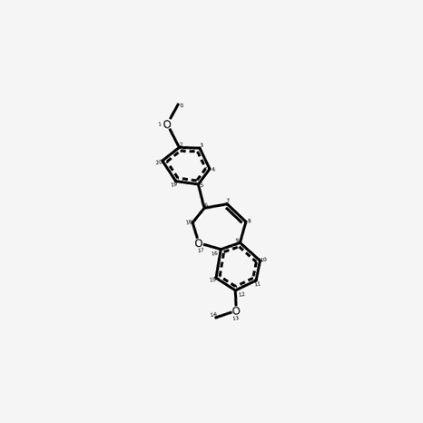 COc1ccc(C2C=Cc3ccc(OC)cc3OC2)cc1